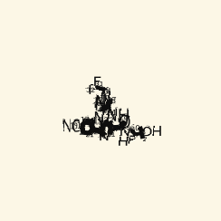 CC(C)(O)C(F)CNC(=O)c1cnc2c([nH]c3cc(C#N)ccc32)c1Nc1cnn(CC(F)F)c1